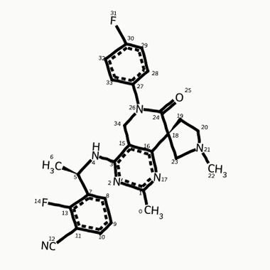 Cc1nc(N[C@H](C)c2cccc(C#N)c2F)c2c(n1)[C@]1(CCN(C)C1)C(=O)N(c1ccc(F)cc1)C2